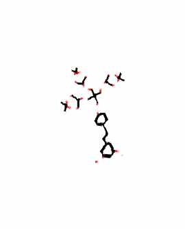 COc1cc(/C=C/c2ccc(OCC(COC3COC(C)(C)OC3)(COC3COC(C)(C)OC3)COC3COC(C)(C)OC3)cc2)cc(OC)c1